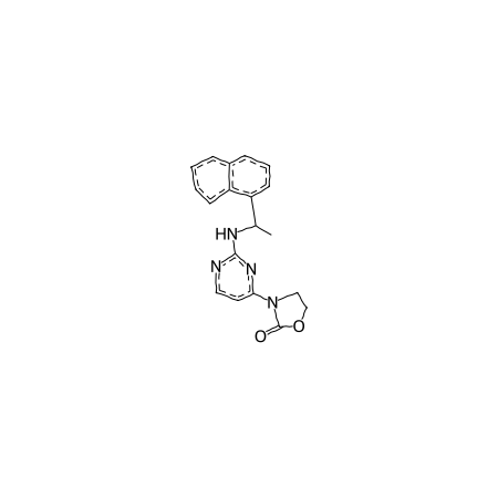 CC(Nc1nccc(N2CCOC2=O)n1)c1cccc2ccccc12